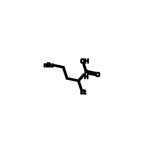 CCCCCCC(CC)[PH](=O)O